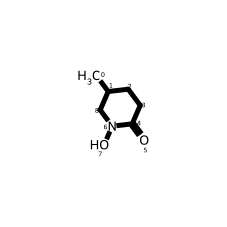 CC1CCC(=O)N(O)C1